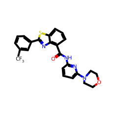 O=C(Nc1cccc(N2CCOCC2)n1)c1cccc2sc(-c3cccc(C(F)(F)F)c3)nc12